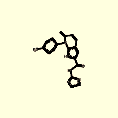 C=C1C=Cc2cc(C(=O)Nc3nccs3)[nH]c2N1c1ccc(C(F)(F)F)cc1